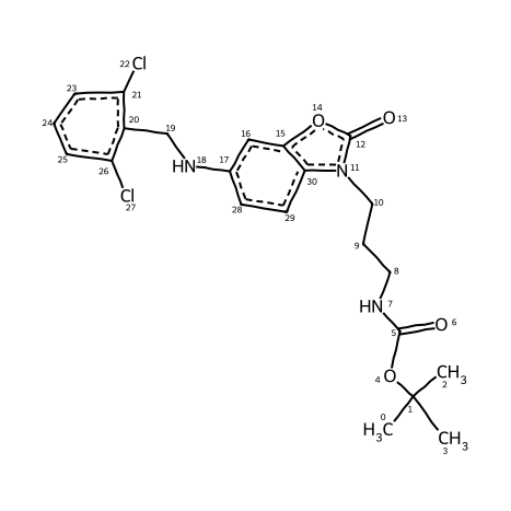 CC(C)(C)OC(=O)NCCCn1c(=O)oc2cc(NCc3c(Cl)cccc3Cl)ccc21